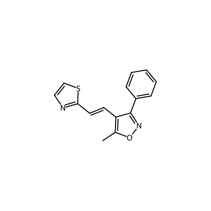 Cc1onc(-c2ccccc2)c1C=Cc1nccs1